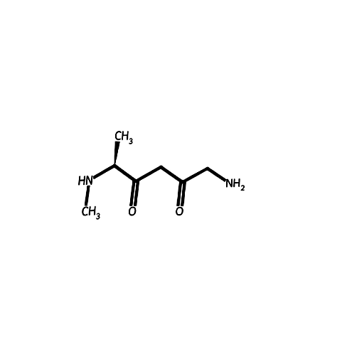 CN[C@@H](C)C(=O)CC(=O)CN